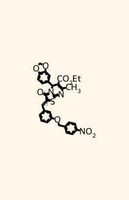 CCOC(=O)C1=C(C)N=c2s/c(=C\c3cccc(OCc4ccc([N+](=O)[O-])cc4)c3)c(=O)n2C1c1ccc2c(c1)OCO2